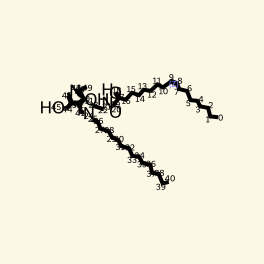 CCCCCCCC/C=C\CCCCCCCC(=O)C(=O)NCCN(CCCCCCCCCCCCCCCC)Cc1c(CO)cnc(C)c1O